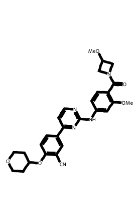 COc1cc(Nc2nccc(-c3ccc(OC4CCOCC4)c(C#N)c3)n2)ccc1C(=O)N1CC(OC)C1